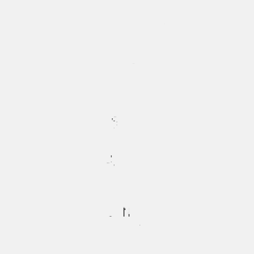 CN1CCCB(SCc2ccccc2)C1